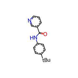 CC(C)(C)c1ccc(NC(=O)c2cccnc2)cc1